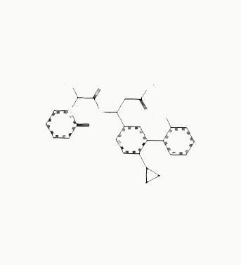 CCCC(C(=O)NC(CC(=O)OC)c1ccc(C2CC2)c(-c2ccccc2C)c1)n1ccccc1=O